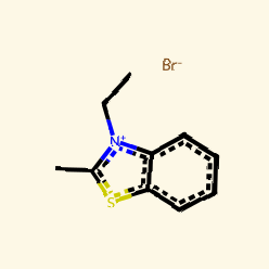 CC[n+]1c(C)sc2ccccc21.[Br-]